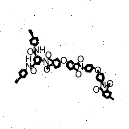 C#Cc1ccc(NC(=O)c2cc(C(=O)Nc3ccc(C#C)cc3)cc(N3C(=O)c4ccc(Oc5ccc6c(c5)C(=O)N(c5ccc(Oc7ccc(N8C(=O)c9ccc(C)cc9C8=O)cc7)cc5)C6=O)cc4C3=O)c2)cc1